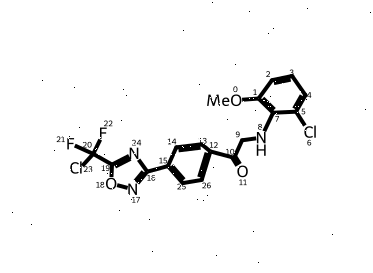 COc1cccc(Cl)c1NCC(=O)c1ccc(-c2noc(C(F)(F)Cl)n2)cc1